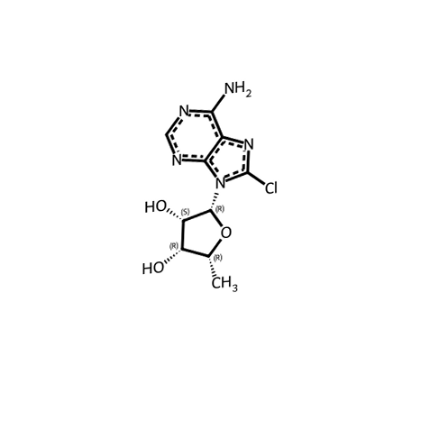 C[C@H]1O[C@@H](n2c(Cl)nc3c(N)ncnc32)[C@@H](O)[C@H]1O